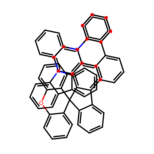 c1ccc(-c2ccccc2-c2ccccc2-c2ccccc2N(c2ccc3c(c2)C2(c4ccccc4Oc4ccccc42)c2ccccc2-3)c2ccccc2-n2c3ccccc3c3ccccc32)cc1